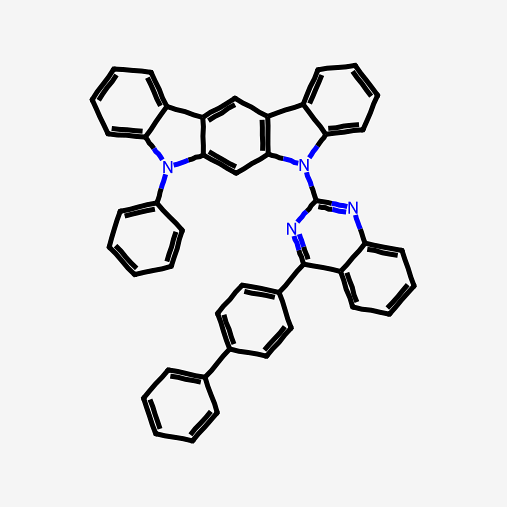 c1ccc(-c2ccc(-c3nc(-n4c5ccccc5c5cc6c7ccccc7n(-c7ccccc7)c6cc54)nc4ccccc34)cc2)cc1